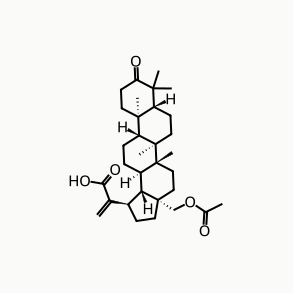 C=C(C(=O)O)[C@@H]1CC[C@]2(COC(C)=O)CC[C@]3(C)[C@H](CC[C@@H]4[C@@]5(C)CCC(=O)C(C)(C)[C@@H]5CC[C@]43C)[C@@H]12